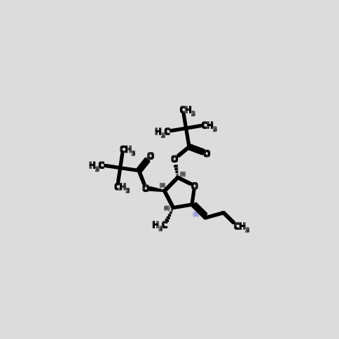 CC/C=C1\O[C@@H](OC(=O)C(C)(C)C)[C@H](OC(=O)C(C)(C)C)[C@H]1C